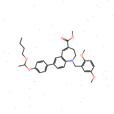 CCCCOC(C)Oc1ccc(-c2ccc3c(c2)C=C(C(=O)OC)CCN3Cc2cc(OC)ccc2OC)cc1